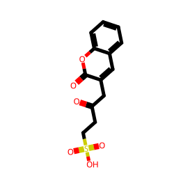 O=C(CCS(=O)(=O)O)Cc1cc2ccccc2oc1=O